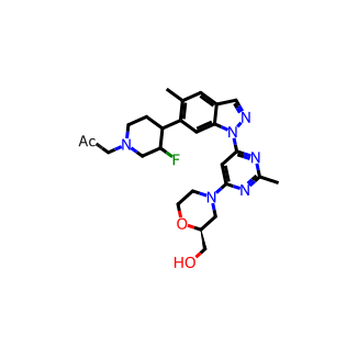 CC(=O)CN1CCC(c2cc3c(cnn3-c3cc(N4CCO[C@H](CO)C4)nc(C)n3)cc2C)C(F)C1